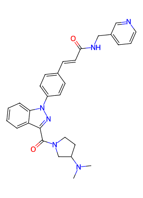 CN(C)C1CCN(C(=O)c2nn(-c3ccc(C=CC(=O)NCc4cccnc4)cc3)c3ccccc23)C1